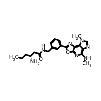 CCC[C@@H](N)CC(=O)NCc1cccc(-c2nc3c(nc(NC)c4ncn(C)c43)o2)c1